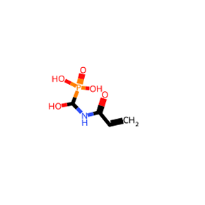 C=CC(=O)NC(O)P(=O)(O)O